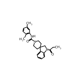 CCC(=O)N1CC2(CCN(C(=O)Nc3cc(C)ccc3C)CC2)c2ccccc21